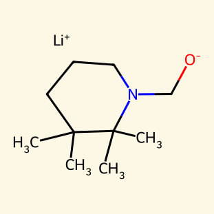 CC1(C)CCCN(C[O-])C1(C)C.[Li+]